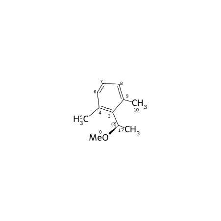 CO[C@H](C)c1c(C)cccc1C